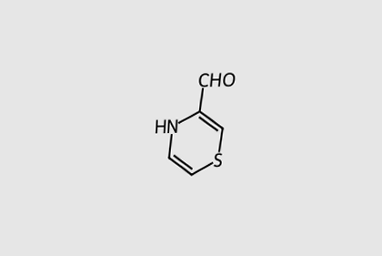 O=CC1=CSC=CN1